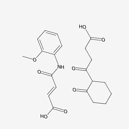 COc1ccccc1NC(=O)C=CC(=O)O.O=C(O)CCC(=O)C1CCCCC1=O